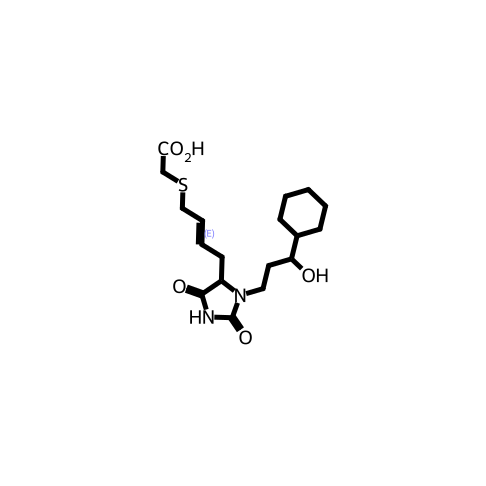 O=C(O)CSC/C=C/CC1C(=O)NC(=O)N1CCC(O)C1CCCCC1